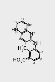 Cc1c(Nc2ccc3c(n2)N=CCN3)cccc1C(=O)O